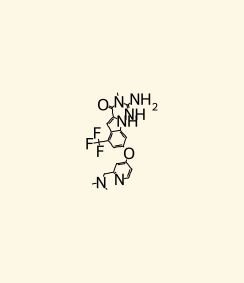 CN(C)Cc1cc(Oc2cc(C(F)(F)F)c3cc(C(=O)N(C)C(=N)N)[nH]c3c2)ccn1